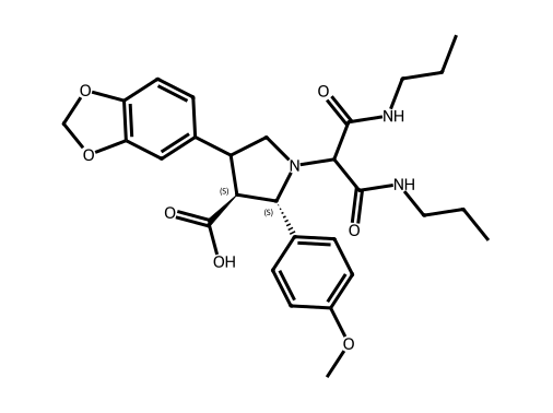 CCCNC(=O)C(C(=O)NCCC)N1CC(c2ccc3c(c2)OCO3)[C@H](C(=O)O)[C@H]1c1ccc(OC)cc1